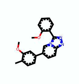 COc1cc(-c2ccc3nnc(-c4ccccc4OC)n3c2)ccc1C